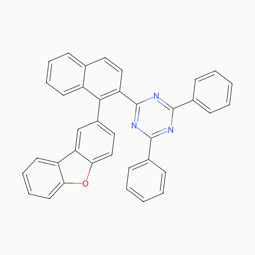 c1ccc(-c2nc(-c3ccccc3)nc(-c3ccc4ccccc4c3-c3ccc4oc5ccccc5c4c3)n2)cc1